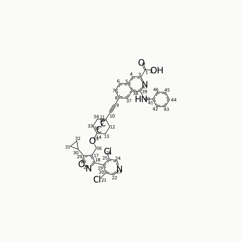 O=C(O)c1cc2ccc(C#CC34CCC(OCc5c(-c6c(Cl)cncc6Cl)noc5C5CC5)(CC3)CC4)cc2c(Nc2ccccc2)n1